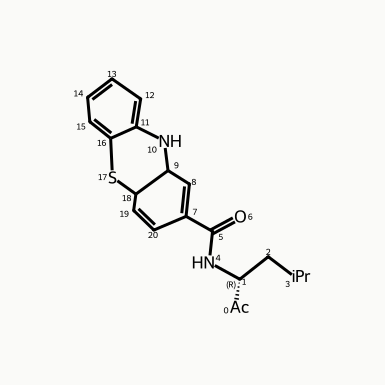 CC(=O)[C@@H](CC(C)C)NC(=O)C1=CC2Nc3ccccc3SC2C=C1